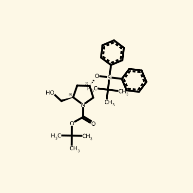 CC(C)(C)OC(=O)N1C[C@@H](O[Si](c2ccccc2)(c2ccccc2)C(C)(C)C)C[C@@H]1CO